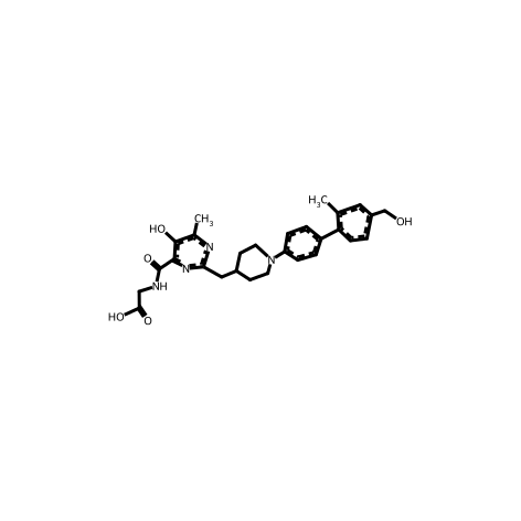 Cc1cc(CO)ccc1-c1ccc(N2CCC(Cc3nc(C)c(O)c(C(=O)NCC(=O)O)n3)CC2)cc1